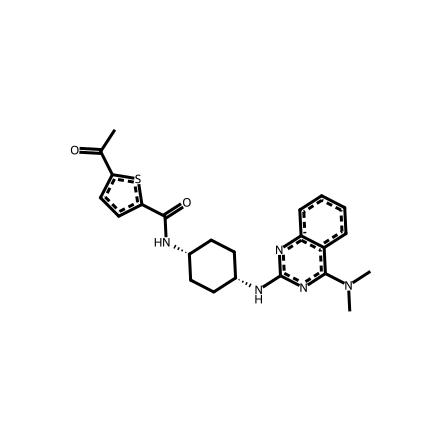 CC(=O)c1ccc(C(=O)N[C@H]2CC[C@@H](Nc3nc(N(C)C)c4ccccc4n3)CC2)s1